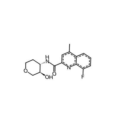 Cc1cc(C(=O)N[C@H]2CCOC[C@@H]2O)nc2c(F)cccc12